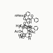 CCCCCCC(=O)O[C@@H](C(=O)O[C@H]1C[C@@]2(O)[C@@H](OC(=O)c3ccccc3)C3[C@](C)(C(=O)[C@H](OC(C)=O)C(=C1C)C2(C)C)[C@@H](O)C[C@H]1CC[C@@]31OC(C)=O)[C@@H](NC(=O)c1ccccc1)c1ccccc1